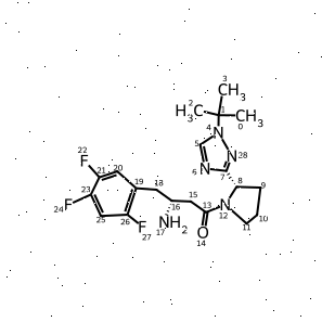 CC(C)(C)n1cnc([C@@H]2CCCN2C(=O)C[C@H](N)Cc2cc(F)c(F)cc2F)n1